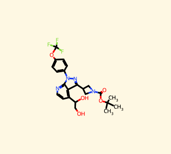 CC(C)(C)OC(=O)N1CC(c2nn(-c3ccc(OC(F)(F)F)cc3)c3nccc(C(O)CO)c23)C1